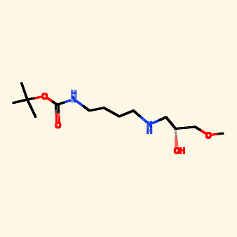 COC[C@H](O)CNCCCCNC(=O)OC(C)(C)C